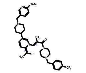 CC/C(C)=C1/C=CC(C2CCN(Cc3ccc(OC)nc3)CC2)=CN1/C=C(\C)C(=O)N1CCN(Cc2ccc(C(F)(F)F)cc2)CC1